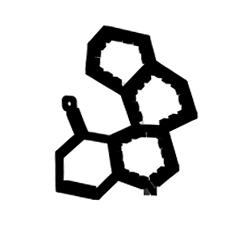 O=C1CC=Cc2ncc3ccc4ccccc4c3c21